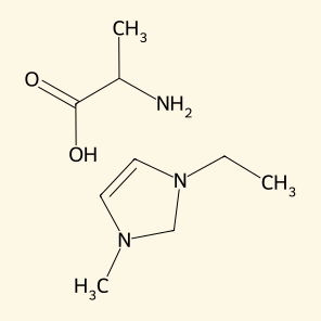 CC(N)C(=O)O.CCN1C=CN(C)C1